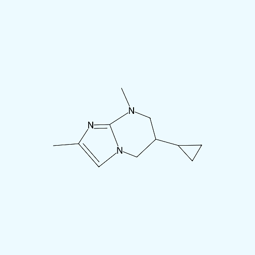 Cc1cn2c(n1)N(C)CC(C1CC1)C2